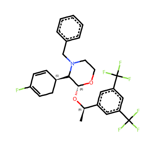 C[C@@H](O[C@H]1OCCN(Cc2ccccc2)C1[C@@H]1C=CC(F)=CC1)c1cc(C(F)(F)F)cc(C(F)(F)F)c1